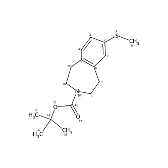 CSc1ccc2c(c1)CCN(C(=O)OC(C)(C)C)CC2